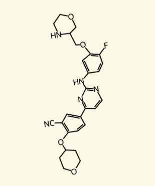 N#Cc1cc(-c2ccnc(Nc3ccc(F)c(OCC4COCCN4)c3)n2)ccc1OC1CCOCC1